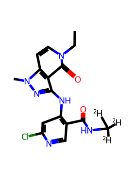 [2H]C([2H])([2H])NC(=O)c1cnc(Cl)cc1Nc1nn(C)c2ccn(CC)c(=O)c12